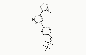 CN1CCCC1c1cncc(-c2ccc(O[Si](C)(C)C(C)(C)C)cc2)c1